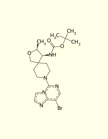 C[C@@H]1OCC2(CCN(c3ncc(Br)c4nccn34)CC2)[C@@H]1NC(=O)OC(C)(C)C